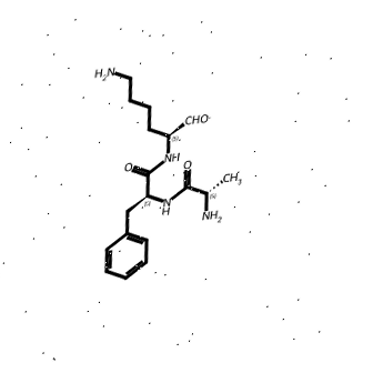 C[C@H](N)C(=O)N[C@@H](Cc1ccccc1)C(=O)N[C@H]([C]=O)CCCCN